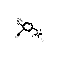 COc1ccc(NS(C)(=O)=O)cc1C#N